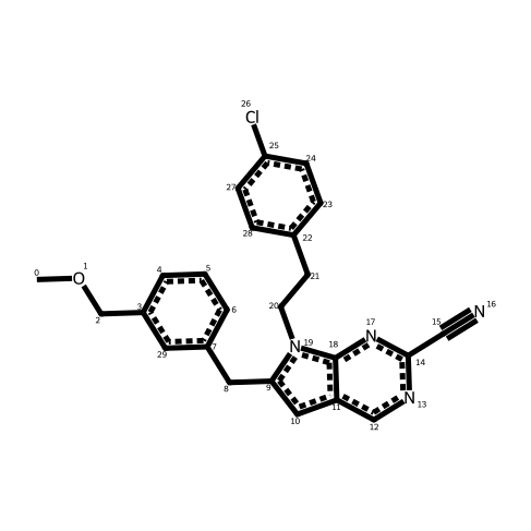 COCc1cccc(Cc2cc3cnc(C#N)nc3n2CCc2ccc(Cl)cc2)c1